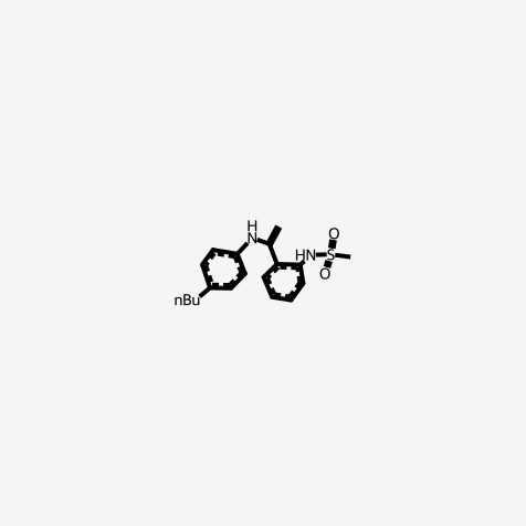 C=C(Nc1ccc(CCCC)cc1)c1ccccc1NS(C)(=O)=O